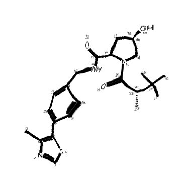 Cc1ncsc1-c1ccc(CNC(=O)C2C[C@@H](O)CN2C(=O)[C@@H](C)C(C)(C)C)cc1